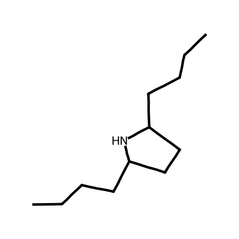 CCCCC1CCC(CCCC)N1